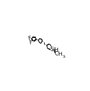 CCC[Si@H]1CC[C@H](CC[C@H]2CC[C@H](c3ccc(F)c(F)c3)CC2)CC1